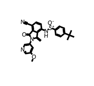 C=C1c2c(N[S+]([O-])c3ccc(C(C)(C)C)cc3)ccc(C#N)c2C(=O)N1c1cncc(OC)c1